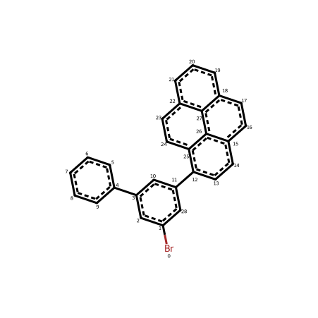 Brc1cc(-c2ccccc2)cc(-c2ccc3ccc4cccc5ccc2c3c45)c1